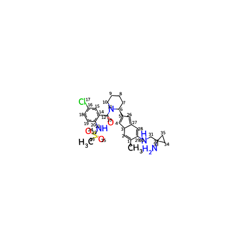 CC1=CC2C=C([C@@H]3CCCCN3C(=O)c3cc(Cl)ccc3NS(C)(=O)=O)C=C2C=C1NCC1(N)CC1